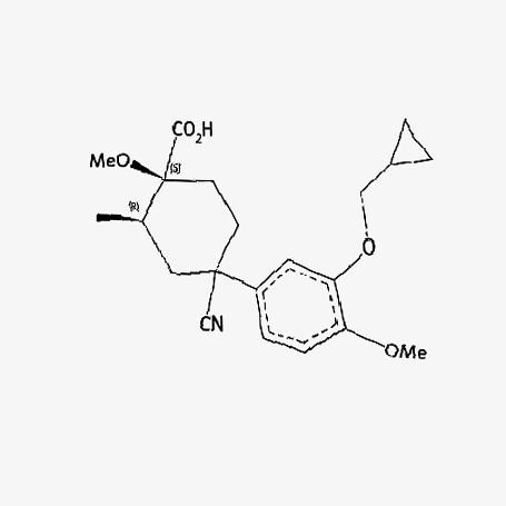 COc1ccc(C2(C#N)CC[C@@](OC)(C(=O)O)[C@H](C)C2)cc1OCC1CC1